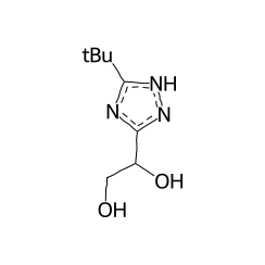 CC(C)(C)c1nc(C(O)CO)n[nH]1